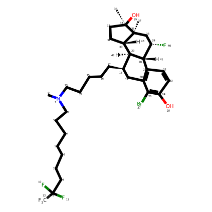 CN(CCCCCCCC(F)(F)C(F)(F)F)CCCCC[C@@H]1Cc2c(ccc(O)c2Br)[C@@H]2[C@@H]1[C@@H]1CC[C@@](C)(O)[C@@]1(C)C[C@@H]2F